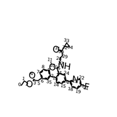 CCOC(=O)Cc1ccc(OC)c(-c2ccc(-c3ccc(F)cn3)cc2CNCCC(=O)C2CC2)c1